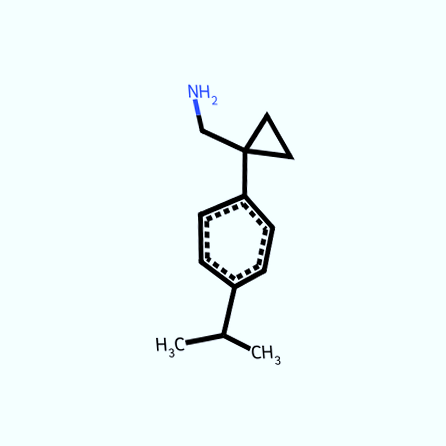 CC(C)c1ccc(C2(CN)CC2)cc1